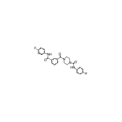 O=C(Nc1ccc(F)nc1)c1cccc(C(=O)N2CCN(C(=O)Nc3ccc(F)cc3)CC2)c1